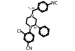 [C-]#[N+]c1ccc([C@@H](C)N2CCN(c3ccc(C#N)cc3Cl)[C@H](c3ccccc3)C2)cc1